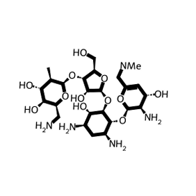 CNCC1=C[C@H](O)[C@@H](N)[C@@H](O[C@H]2[C@H](O[C@@H]3O[C@H](CO)[C@@H](O[C@H]4O[C@@H](CN)[C@@H](O)[C@H](O)[C@H]4C)[C@H]3O)[C@@H](O)[C@H](N)C[C@@H]2N)O1